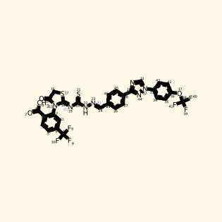 CC(=O)c1ccc(C(F)(F)F)cc1N1C(=O)CS/C1=N\C(=S)N/N=C/c1ccc(-c2ncn(-c3ccc(OC(F)(F)F)cc3)n2)cc1